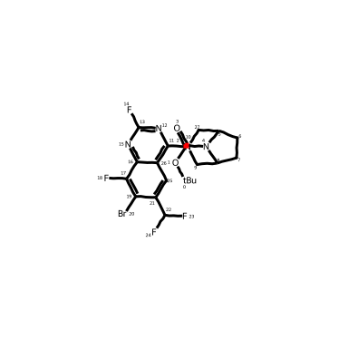 CC(C)(C)OC(=O)N1C2CCC1CN(c1nc(F)nc3c(F)c(Br)c(C(F)F)cc13)C2